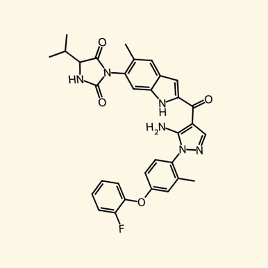 Cc1cc2cc(C(=O)c3cnn(-c4ccc(Oc5ccccc5F)cc4C)c3N)[nH]c2cc1N1C(=O)NC(C(C)C)C1=O